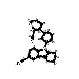 N#Cc1ccc2c(c1)c1ccccc1n2-c1cccc(-c2cccnc2C#N)c1